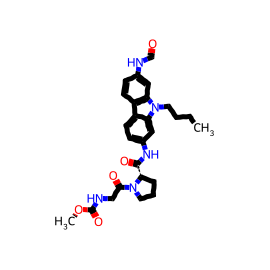 CCCCn1c2cc(NC=O)ccc2c2ccc(NC(=O)[C@@H]3CCCN3C(=O)CNC(=O)OC)cc21